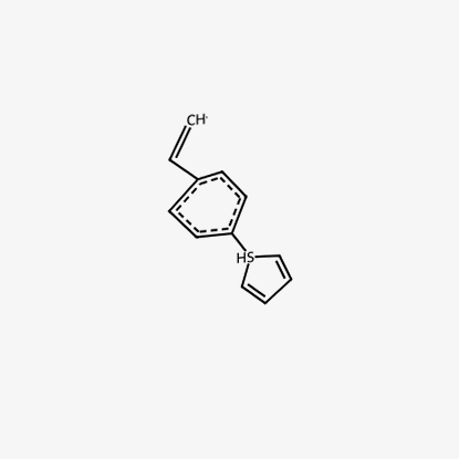 [CH]=Cc1ccc([SH]2C=CC=C2)cc1